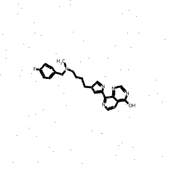 CN(CCCCC1C=NC(c2nccc3c(O)ncnc23)=C1)Cc1ccc(F)cc1